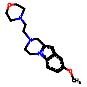 COc1ccc2c(c1)cc1n2CCN(CCN2CCOCC2)C1